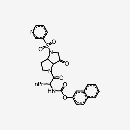 CCCC(NC(=O)Oc1ccc2ccccc2c1)C(=O)N1CCC2C1C(=O)CN2S(=O)(=O)c1cccnc1